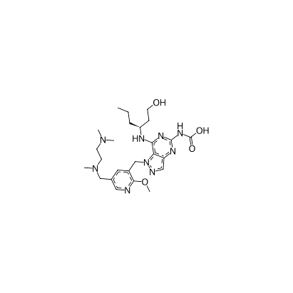 CCC[C@@H](CCO)Nc1nc(NC(=O)O)nc2cnn(Cc3cc(CN(C)CCN(C)C)cnc3OC)c12